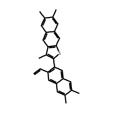 C=Cc1cc2cc(C)c(C)cc2cc1-c1sc2cc3cc(C)c(C)cc3cc2c1C